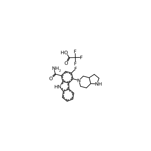 NC(=O)c1cc(F)c(N2CCC3NCCC3C2)c2c1[nH]c1ccccc12.O=C(O)C(F)(F)F